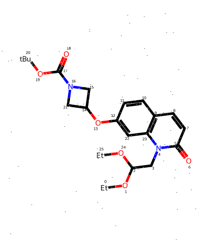 CCOC(Cn1c(=O)ccc2ccc(OC3CN(C(=O)OC(C)(C)C)C3)cc21)OCC